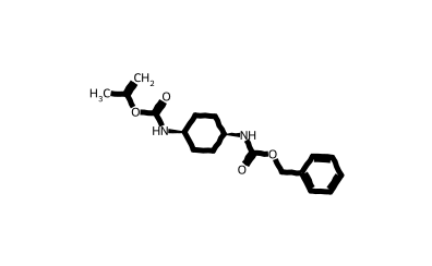 C=C(C)OC(=O)N[C@H]1CC[C@@H](NC(=O)OCc2ccccc2)CC1